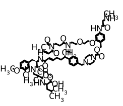 C/C=C\C(=O)N(C=O)CCC(=O)NCCOCCOc1cc(NC(=O)CNC)ccc1COC(=O)N1CCN(Cc2ccc(C(C)CC/C=C/C(=O)N[C@H](Cc3ccc(OC)c(Cl)c3)C(=O)NCC(C)(C)C(=O)NC(CC(C)C)C(=O)O)cc2)CC1